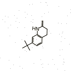 C=C1CCc2ccc(C(C)(C)C)cc2N1